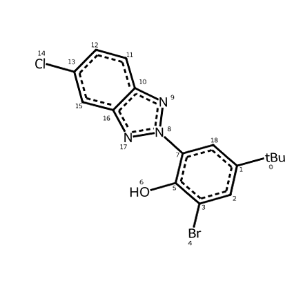 CC(C)(C)c1cc(Br)c(O)c(-n2nc3ccc(Cl)cc3n2)c1